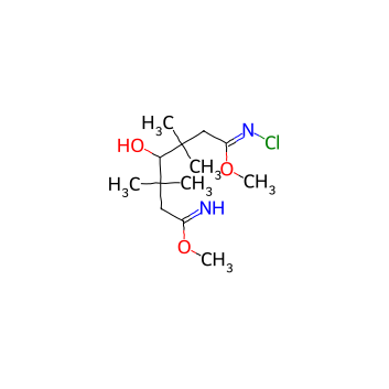 COC(=N)CC(C)(C)C(O)C(C)(C)CC(=NCl)OC